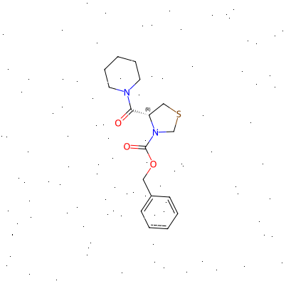 O=C([C@@H]1CSCN1C(=O)OCc1ccccc1)N1CCCCC1